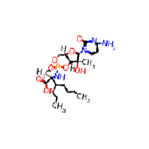 CCCCC(CCC)[C@@](C)(NP1(=O)OC[C@H]2O[C@@H](n3ccc(N)nc3=O)[C@](C)(O)[C@@H]2O1)C(=O)O